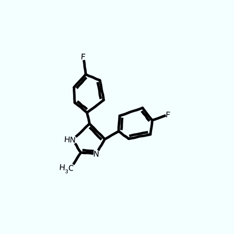 Cc1nc(-c2ccc(F)cc2)c(-c2ccc(F)cc2)[nH]1